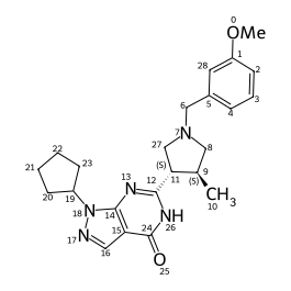 COc1cccc(CN2C[C@@H](C)[C@H](c3nc4c(cnn4C4CCCC4)c(=O)[nH]3)C2)c1